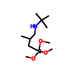 CO[Si](CC(C)CNC(C)(C)C)(OC)OC